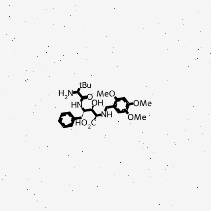 COc1cc(OC)c(OC)cc1CN[C@@H](C(=O)O)[C@H](O)[C@H](Cc1ccccc1)NC(=O)C(N)C(C)(C)C